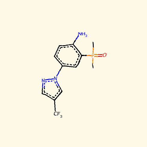 CP(C)(=O)c1cc(-n2cc(C(F)(F)F)cn2)ccc1N